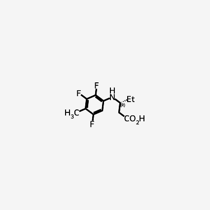 CC[C@H](CC(=O)O)Nc1cc(F)c(C)c(F)c1F